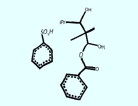 CC(C)C(O)C(C)(C)C(O)OC(=O)c1ccccc1.O=S(=O)(O)c1ccccc1